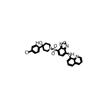 O=S(=O)(c1ccc(Nc2cccc3cccnc23)c2nonc12)N1CCC(O)(c2ccc(Cl)cc2)CC1